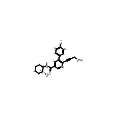 COCC#Cc1ncc(C(=O)NC2CCCC[C@H]2O)cc1-c1ccc(Cl)cc1